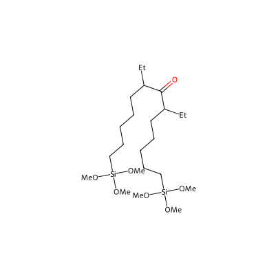 CCC(CCCCC[Si](OC)(OC)OC)C(=O)C(CC)CCCCC[Si](OC)(OC)OC